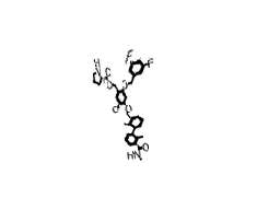 CNC(=O)c1cccc(-c2cccc(COc3cc(OCc4cc(F)cc(F)c4)c(COC(=O)[C@@H]4CCCN4)cc3Cl)c2C)c1C